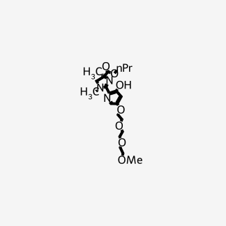 CCCOC(=O)[C@@]1(C)CN(C)C(c2ncc(OCCOCCOCCOC)cc2O)=N1